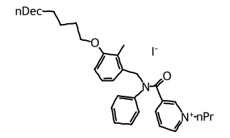 CCCCCCCCCCCCCCOc1cccc(CN(C(=O)c2ccc[n+](CCC)c2)c2ccccc2)c1C.[I-]